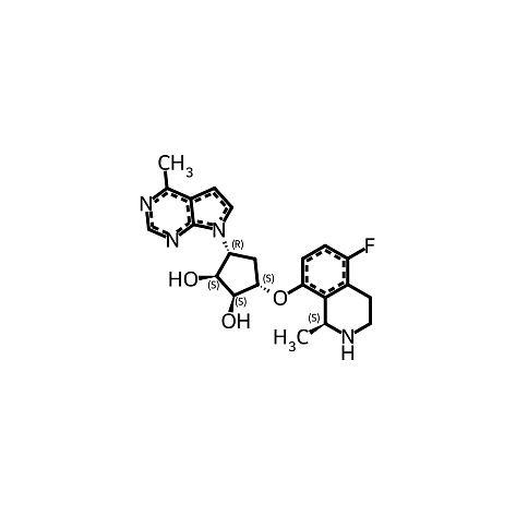 Cc1ncnc2c1ccn2[C@@H]1C[C@H](Oc2ccc(F)c3c2[C@H](C)NCC3)[C@@H](O)[C@H]1O